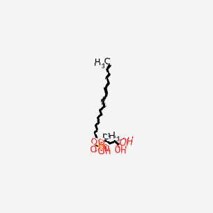 CCCCCCCCCCCCCCCCCCOC(=O)P(=O)(O)OC(C)CCC(O)O